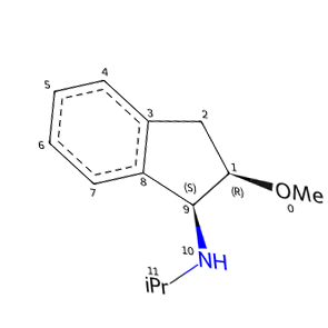 CO[C@@H]1Cc2ccccc2[C@@H]1NC(C)C